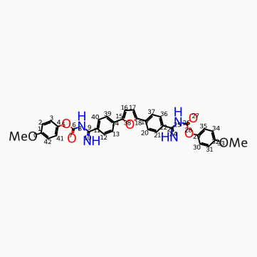 COc1ccc(OC(=O)NC(=N)c2ccc(-c3ccc(-c4ccc(C(=N)NC(=O)Oc5ccc(OC)cc5)cc4)o3)cc2)cc1